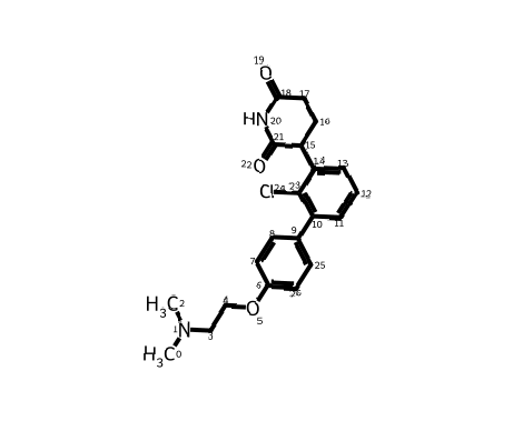 CN(C)CCOc1ccc(-c2cccc(C3CCC(=O)NC3=O)c2Cl)cc1